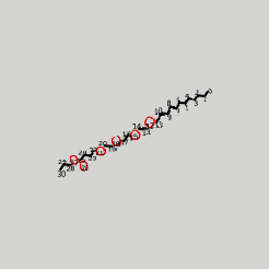 CCCCCCCCCCCCOCCOCCOCCOCCCC(=O)OCCC